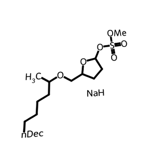 CCCCCCCCCCCCCCC(C)OCC1CCC(OS(=O)(=O)OC)O1.[NaH]